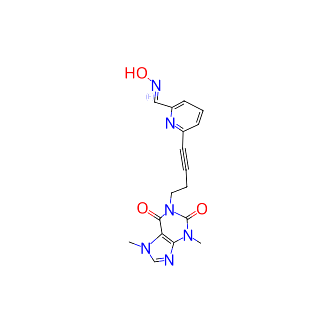 Cn1cnc2c1c(=O)n(CCC#Cc1cccc(/C=N/O)n1)c(=O)n2C